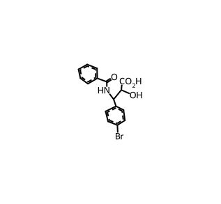 O=C(NC(c1ccc(Br)cc1)C(O)C(=O)O)c1ccccc1